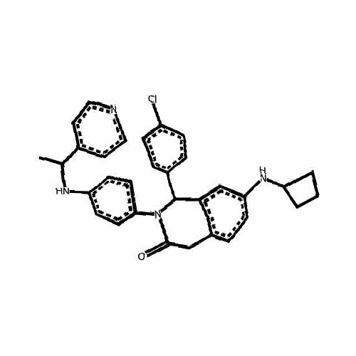 CC(Nc1ccc(N2C(=O)Cc3ccc(NC4CCC4)cc3C2c2ccc(Cl)cc2)cc1)c1ccncc1